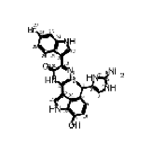 CC(C1=CNC(N)N1)c1ccc(O)c2[nH]cc(-c3cnc(-c4c[nH]c5cc(Br)ccc45)c(=O)[nH]3)c12